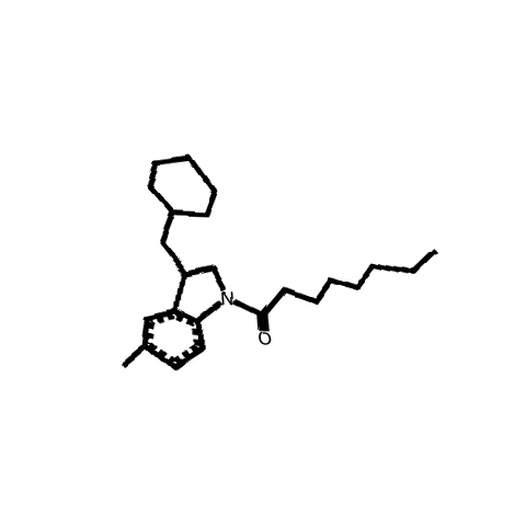 CCCCCCCC(=O)N1CC(CC2CCCCC2)c2cc(C)ccc21